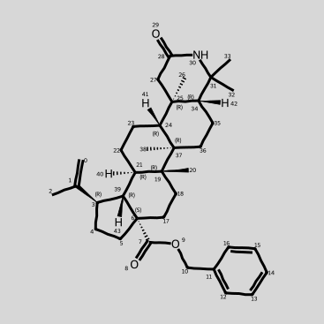 C=C(C)[C@@H]1CC[C@]2(C(=O)OCc3ccccc3)CC[C@]3(C)[C@H](CC[C@@H]4[C@@]5(C)CC(=O)NC(C)(C)[C@@H]5CC[C@]43C)[C@@H]12